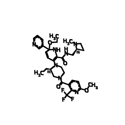 CCOC1(c2cccnc2)C=CC(N2CCN(C(=O)c3ccc(OC)nc3C(F)(F)F)C[C@H]2CC)=C(C(=O)NC[C@@H]2CCN2C)N1